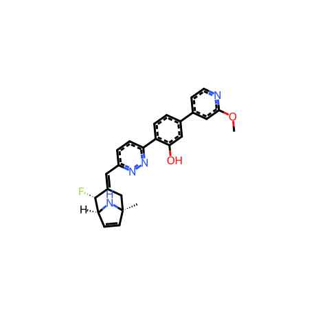 COc1cc(-c2ccc(-c3ccc(/C=C4\C[C@@]5(C)C=C[C@H](N5)[C@@H]4F)nn3)c(O)c2)ccn1